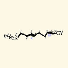 CCCCCCCC/C=C/CC/C=C/C#N